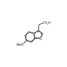 COc1ccc2c(CC(=O)O)csc2c1